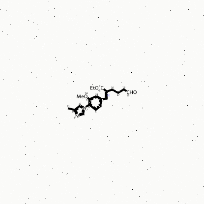 CCOC(=O)/C(=C\c1ccc(-n2cnc(C)c2)c(OC)c1)CCCC=O